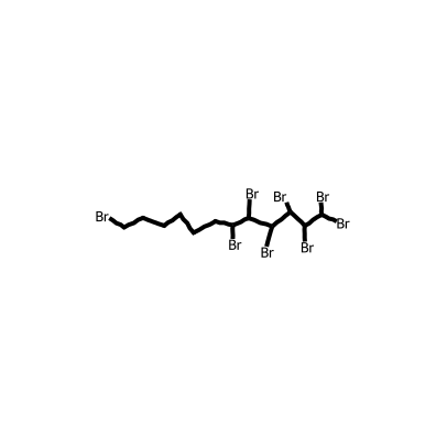 BrCCCCCCC(Br)C(Br)C(Br)C(Br)C(Br)C(Br)Br